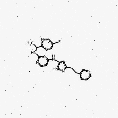 CC(Nc1nccc(Nc2cc(CCc3cccnc3)n[nH]2)n1)c1ccc(F)cn1